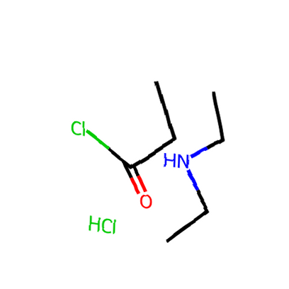 CCC(=O)Cl.CCNCC.Cl